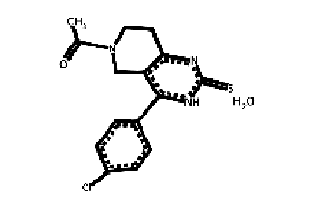 CC(=O)N1CCc2nc(=S)[nH]c(-c3ccc(Cl)cc3)c2C1.O